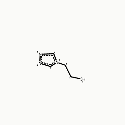 SCCn1cnnc1